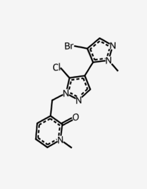 Cn1ncc(Br)c1-c1cnn(Cc2cccn(C)c2=O)c1Cl